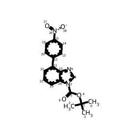 CC(C)(C)OC(=O)n1cnc2c(-c3ccc([N+](=O)[O-])cc3)cccc21